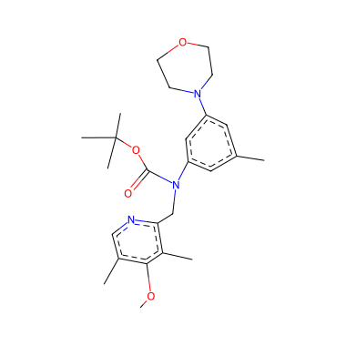 COc1c(C)cnc(CN(C(=O)OC(C)(C)C)c2cc(C)cc(N3CCOCC3)c2)c1C